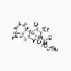 CC[C@H](NC(=O)OC(C)(C)C)C(=O)N1c2cccc(F)c2C[C@@H]1C(=O)O